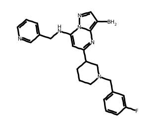 Bc1cnn2c(NCc3cccnc3)cc(C3CCCN(Cc4cccc(F)c4)C3)nc12